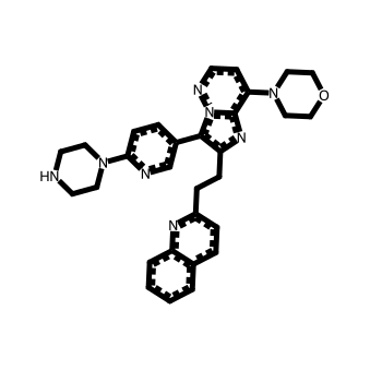 c1ccc2nc(CCc3nc4c(N5CCOCC5)ccnn4c3-c3ccc(N4CCNCC4)nc3)ccc2c1